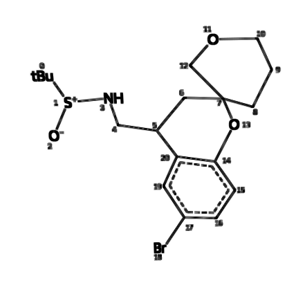 CC(C)(C)[S+]([O-])NCC1CC2(CCCOC2)Oc2ccc(Br)cc21